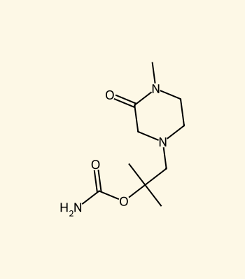 CN1CCN(CC(C)(C)OC(N)=O)CC1=O